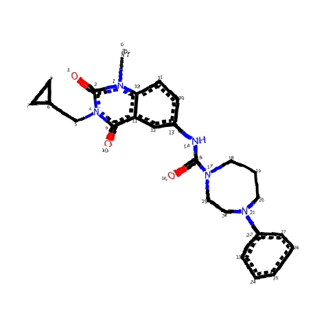 CC(C)n1c(=O)n(CC2CC2)c(=O)c2cc(NC(=O)N3CCCN(c4ccccc4)CC3)ccc21